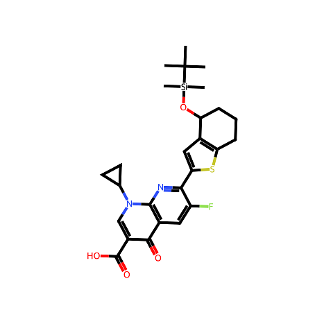 CC(C)(C)[Si](C)(C)OC1CCCc2sc(-c3nc4c(cc3F)c(=O)c(C(=O)O)cn4C3CC3)cc21